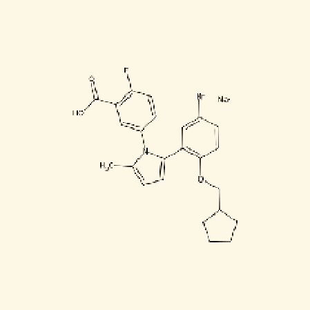 Cc1ccc(-c2cc(Br)ccc2OCC2CCCC2)n1-c1ccc(F)c(C(=O)O)c1.[Na]